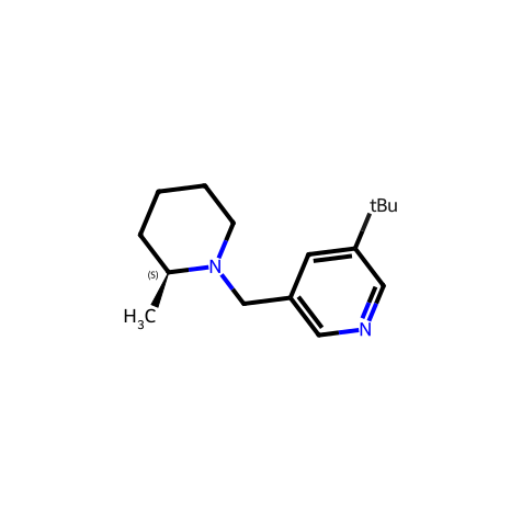 C[C@H]1CCCCN1Cc1cncc(C(C)(C)C)c1